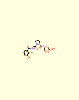 COc1cccc(C(=O)NCC(=O)N2CCC[C@H]2C(=O)N[C@H](C=O)CC(=O)O)c1Cl